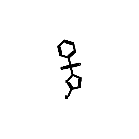 O=S(=O)(c1ccccc1)C1C=CC(Br)=N1